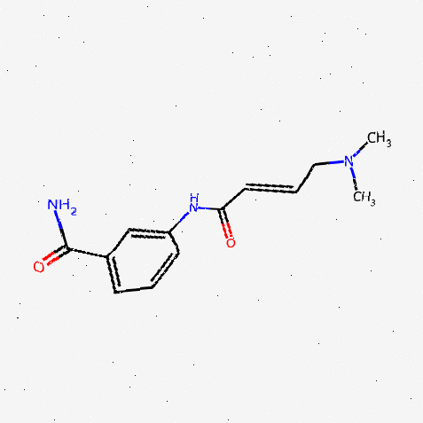 CN(C)CC=CC(=O)Nc1cccc(C(N)=O)c1